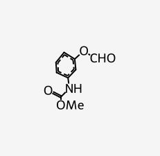 COC(=O)Nc1cccc(OC=O)c1